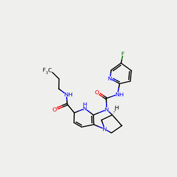 O=C(NCCC(F)(F)F)C1C=CC2=C(N1)N(C(=O)Nc1ccc(F)cn1)[C@H]1CCN2C1